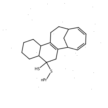 CCCSC1(S)CC2=C(CCC3C=CC=CC2C3)C2CCCCC21